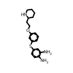 Nc1ccc(Sc2cccc(OCCC3CCCCN3)c2)cc1N